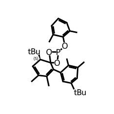 CC1=C[C@@H](C(C)(C)C)C2(OP(Oc3c(C)cccc3C)O2)C(c2cc(C(C)(C)C)cc(C)c2C)=C1C